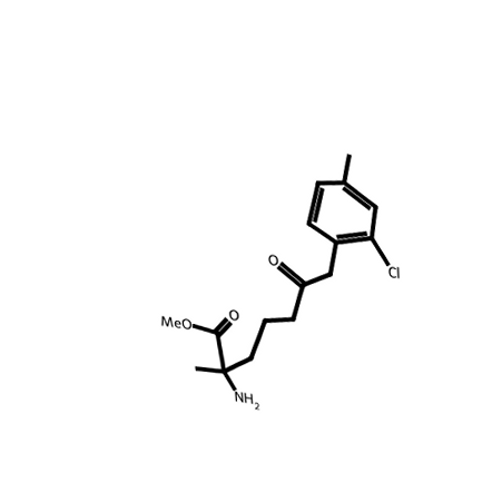 COC(=O)C(C)(N)CCCC(=O)Cc1ccc(C)cc1Cl